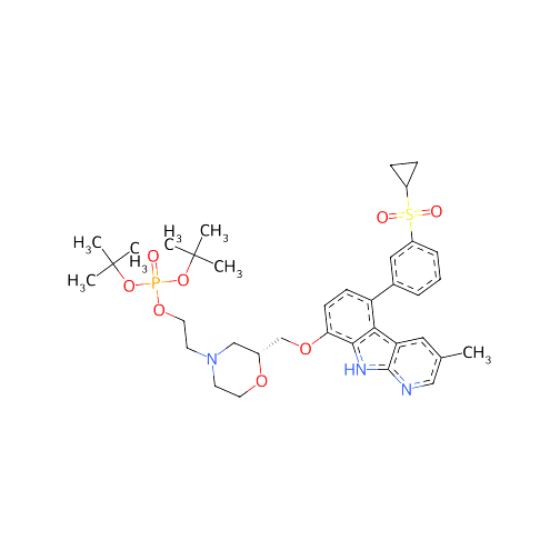 Cc1cnc2[nH]c3c(OC[C@H]4CN(CCOP(=O)(OC(C)(C)C)OC(C)(C)C)CCO4)ccc(-c4cccc(S(=O)(=O)C5CC5)c4)c3c2c1